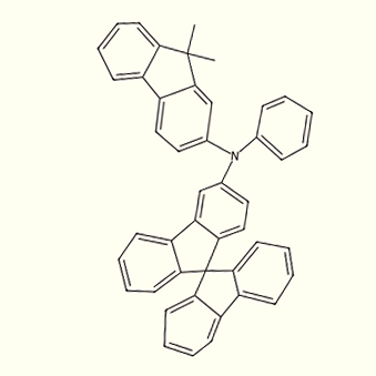 CC1(C)c2ccccc2-c2ccc(N(c3ccccc3)c3ccc4c(c3)-c3ccccc3C43c4ccccc4-c4ccccc43)cc21